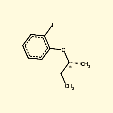 CC[C@@H](C)Oc1ccccc1I